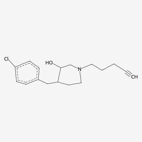 C#CCCCN1CCC(Cc2ccc(Cl)cc2)C(O)C1